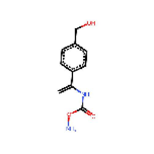 C=C(NC(=O)ON)c1ccc(CO)cc1